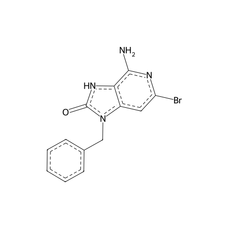 Nc1nc(Br)cc2c1[nH]c(=O)n2Cc1ccccc1